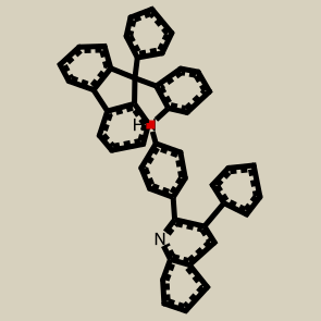 c1ccc(-c2cc3ccccc3nc2-c2ccc(Nc3ccccc3C3(c4ccccc4)c4ccccc4-c4ccccc43)cc2)cc1